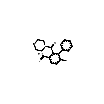 Cc1ccc(C(N)=O)c(C(=O)N2CCNCC2)c1-c1ccccc1